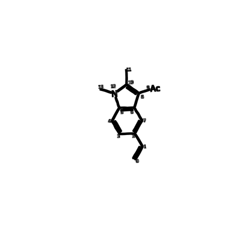 C=Cc1ccc2c(c1)c(C(C)=O)c(C)n2C